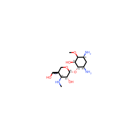 CN[C@H]1/C(=C\O)CO[C@H](O[C@H]2[C@H](N)C[C@H](N)C(OC)[C@@H]2O)[C@@H]1O